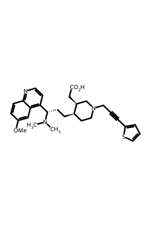 COc1ccc2nccc([C@H](CC[C@@H]3CCN(CC#Cc4cccs4)C[C@@H]3CC(=O)O)N(C)C)c2c1